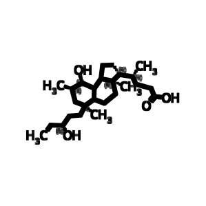 CC[C@H](O)CC[C@@]1(C)C[C@@H](C)[C@@H](O)C2C1CC[C@@]1(C)C2CC[C@@H]1[C@H](C)CCC(=O)O